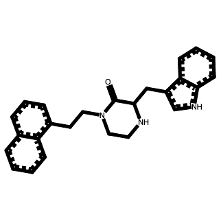 O=C1C(Cc2c[nH]c3ccccc23)NCCN1CCc1cccc2ccccc12